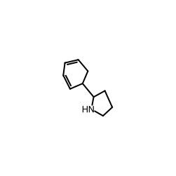 C1=CCC(C2CCCN2)C=C1